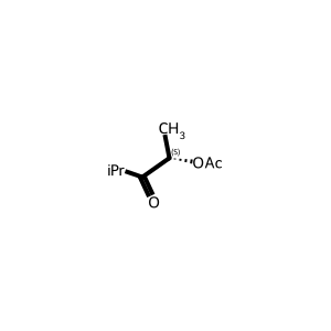 CC(=O)O[C@@H](C)C(=O)C(C)C